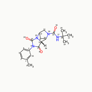 Cc1cccc(N2C(=O)[C@H]3C4CC(CN4C(=O)NC(C)(C)C)N3C2=O)c1